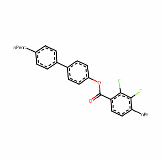 CCCCCc1ccc(-c2ccc(OC(=O)c3ccc(CCC)c(F)c3F)cc2)cc1